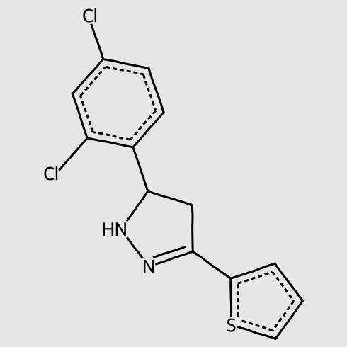 Clc1ccc(C2CC(c3cccs3)=NN2)c(Cl)c1